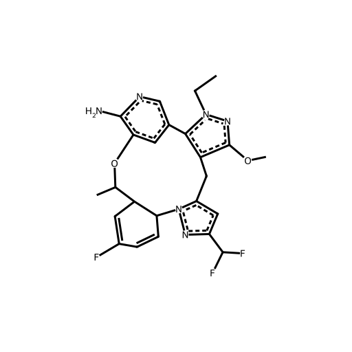 CCn1nc(OC)c2c1-c1cnc(N)c(c1)OC(C)C1C=C(F)C=CC1n1nc(C(F)F)cc1C2